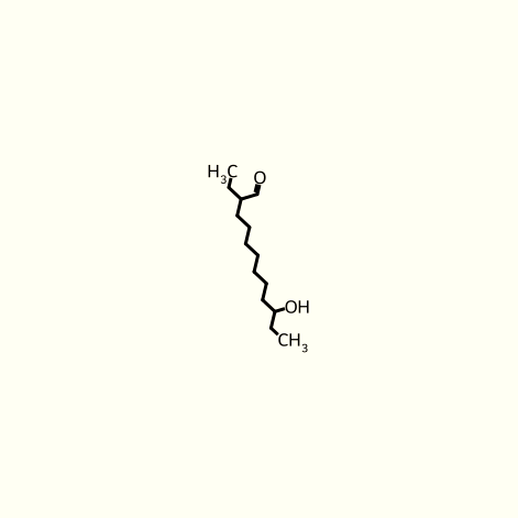 CCC(O)CCCCCCCC(C=O)CC